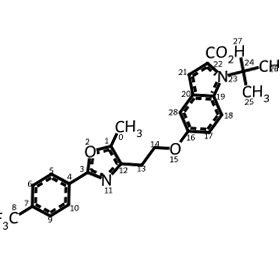 Cc1oc(-c2ccc(C(F)(F)F)cc2)nc1CCOc1ccc2c(ccn2C(C)(C)C(=O)O)c1